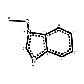 COn1cnc2ccccc21